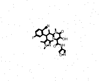 Cc1nn(C)c(C)c1C(c1cc(F)ccc1C#N)C(C)c1nc(C(=O)Nc2cnoc2)c(O)c(=O)n1C